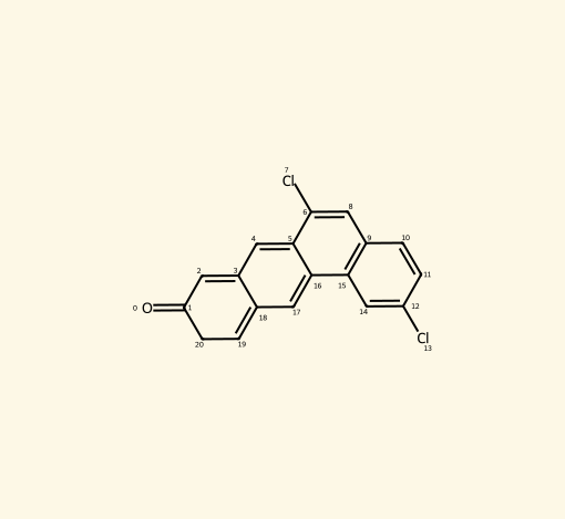 O=C1C=c2cc3c(Cl)cc4ccc(Cl)cc4c3cc2=CC1